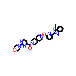 O=C(c1ccnc(N2CCOCC2)n1)N1CCC2(CCN(Oc3cccc(-c4nc5ccccc5[nH]4)n3)CC2)CC1